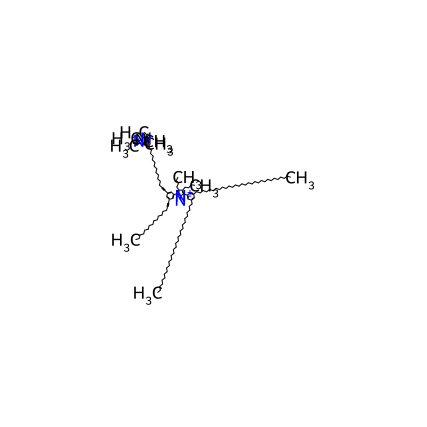 CCCCCCCCCCCCCCC#Cc1cc(C#CCCCCCCCCCCCCCC)cc(C2=C(CCCC)C(CCCC)=C(c3cc(CCCCCCCCCCCCCCCCCCCCCCCCCCCCCC)cc(CCCCCCCCCCCCCCCCCCCCCCCCCCCCCC)c3)[N+]2=[N-])c1.CC[N](C)[Ni][N](C)CC